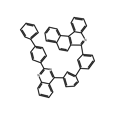 c1ccc(-c2ccc(-c3nc(-c4cccc(-c5cccc(-c6nc7ccccc7c7c6ccc6ccccc67)c5)c4)c4ccccc4n3)cc2)cc1